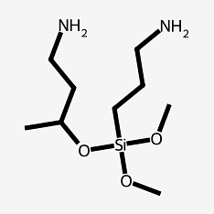 CO[Si](CCCN)(OC)OC(C)CCN